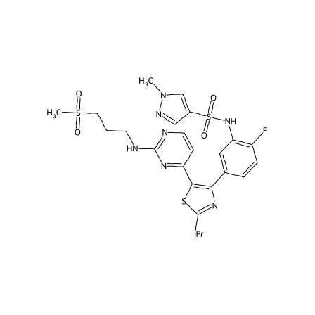 CC(C)c1nc(-c2ccc(F)c(NS(=O)(=O)c3cnn(C)c3)c2)c(-c2ccnc(NCCCS(C)(=O)=O)n2)s1